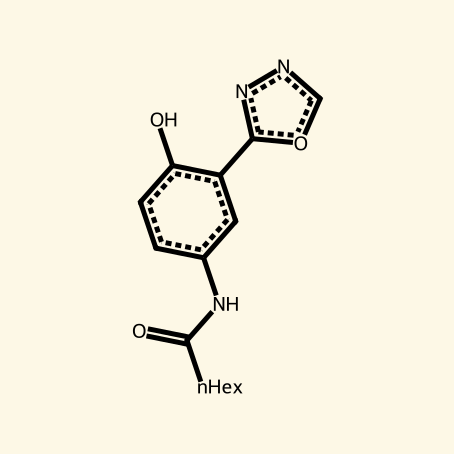 CCCCCCC(=O)Nc1ccc(O)c(-c2nnco2)c1